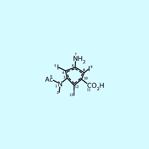 CC(=O)N(C)c1c(I)c(N)c(I)c(C(=O)O)c1I